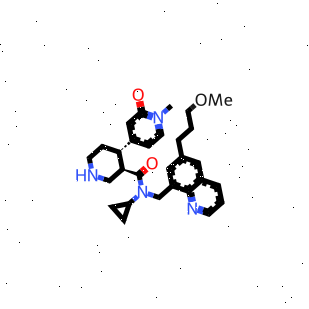 COCCCc1cc(CN(C(=O)[C@H]2CNCC[C@@H]2c2ccn(C)c(=O)c2)C2CC2)c2ncccc2c1